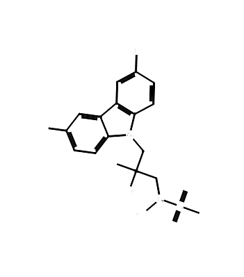 CCCN(CC(C)(O)Cn1c2ccc(F)cc2c2cc(F)ccc21)S(C)(=O)=O